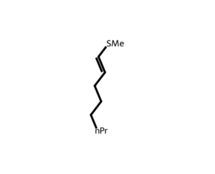 [CH2]CCCCCC=CSC